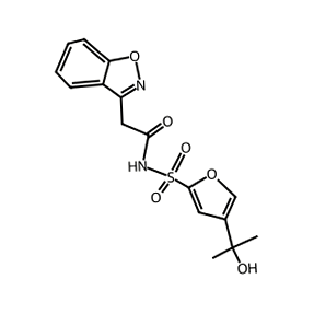 CC(C)(O)c1coc(S(=O)(=O)NC(=O)Cc2noc3ccccc23)c1